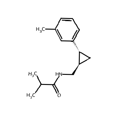 Cc1cccc([C@@H]2C[C@H]2CNC(=O)C(C)C)c1